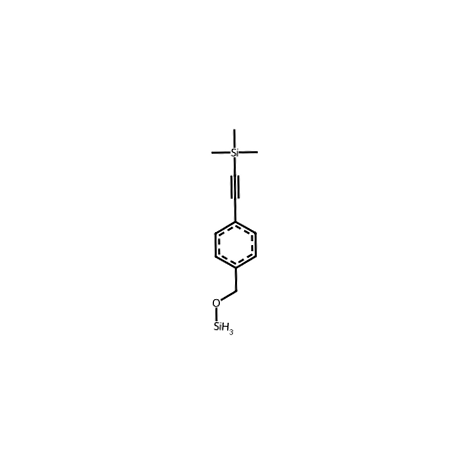 C[Si](C)(C)C#Cc1ccc(CO[SiH3])cc1